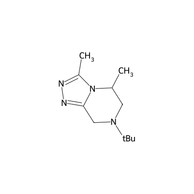 Cc1nnc2n1C(C)CN(C(C)(C)C)C2